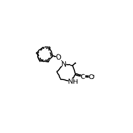 CC1C(=C=O)NCCN1Oc1ccccc1